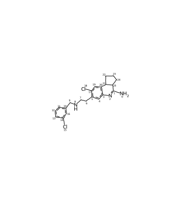 NC1=Nc2cc(CCNCc3cccc(Cl)c3)c(Cl)cc2C2CCCC12